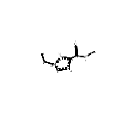 CCn1[c]nc(C(=O)OC)n1